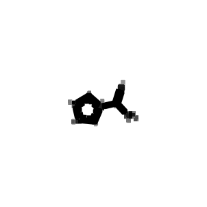 NC(=O)n1cnnc1